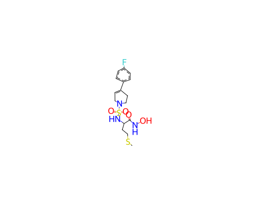 CSCCC(NS(=O)(=O)N1CC=C(c2ccc(F)cc2)CC1)C(=O)NO